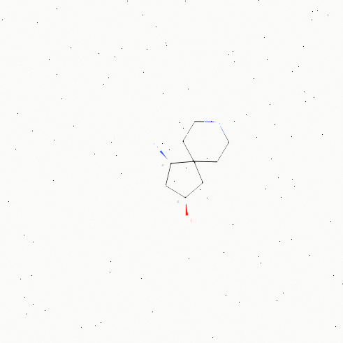 Cl.Cl.N[C@@H]1C[C@H](O)CC12CCNCC2